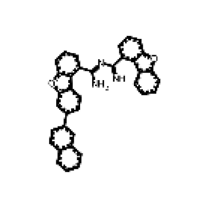 N=C(/N=C(\N)c1cccc2oc3cc(-c4ccc5ccccc5c4)ccc3c12)c1cccc2oc3ccccc3c12